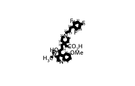 COc1ccc2ncc(N(C)C)c(C(O)CCC3(CC(=O)O)CCN(CCCc4c(F)cc(F)cc4F)CC3)c2c1